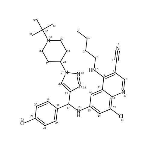 CCCCNc1c(C#N)cnc2c(Cl)cc(NC(c3ccc(Cl)cc3)c3cn(C4CCN(C(C)(C)C)CC4)nn3)cc12